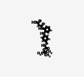 CC(C)(C)OC(=O)NCc1ccc(Nc2ccccc2NC(=O)CC(=O)O)cc1